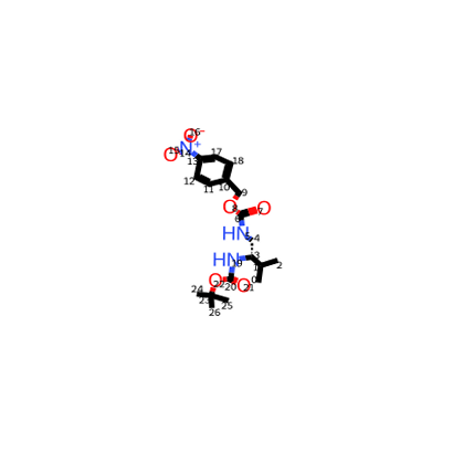 CC(C)[C@@H](CNC(=O)OCc1ccc([N+](=O)[O-])cc1)NC(=O)OC(C)(C)C